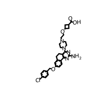 Nc1nc2c(c(N3CCN(CCOC4CC(C(=O)O)C4)CC3)n1)CCc1cc(OCc3ccc(Cl)cc3)ccc1-2